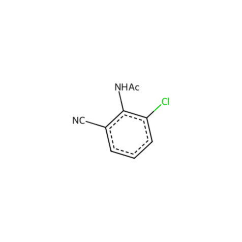 CC(=O)Nc1c(Cl)cccc1C#N